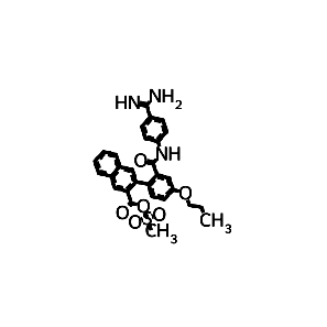 CCCOc1ccc(-c2cc3ccccc3cc2C(=O)OS(C)(=O)=O)c(C(=O)Nc2ccc(C(=N)N)cc2)c1